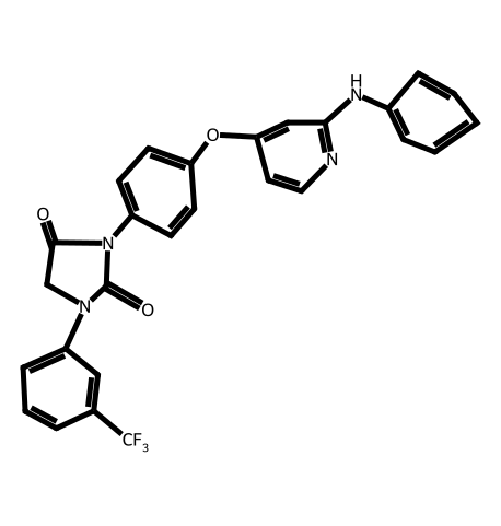 O=C1CN(c2cccc(C(F)(F)F)c2)C(=O)N1c1ccc(Oc2ccnc(Nc3ccccc3)c2)cc1